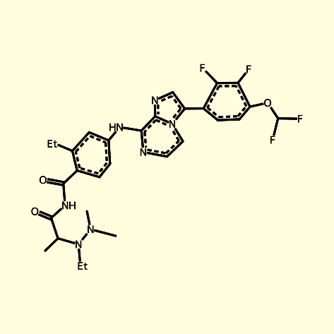 CCc1cc(Nc2nccn3c(-c4ccc(OC(F)F)c(F)c4F)cnc23)ccc1C(=O)NC(=O)C(C)N(CC)N(C)C